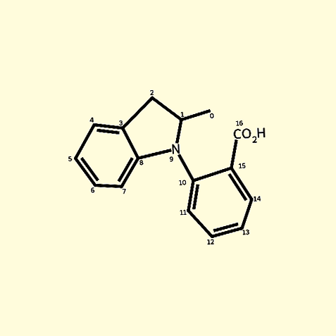 CC1Cc2ccccc2N1c1ccccc1C(=O)O